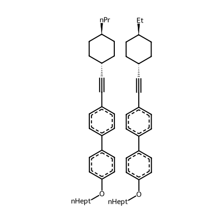 CCCCCCCOc1ccc(-c2ccc(C#C[C@H]3CC[C@H](CC)CC3)cc2)cc1.CCCCCCCOc1ccc(-c2ccc(C#C[C@H]3CC[C@H](CCC)CC3)cc2)cc1